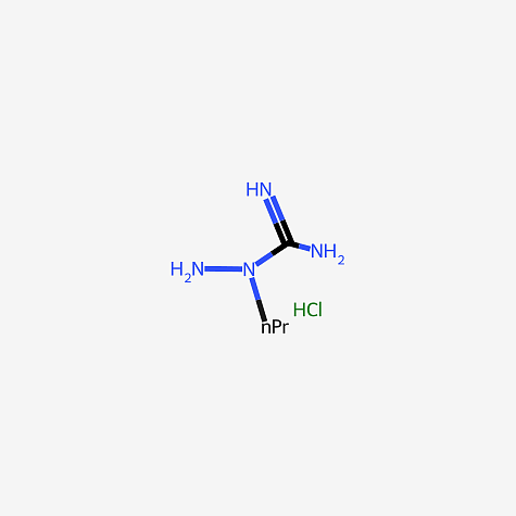 CCCN(N)C(=N)N.Cl